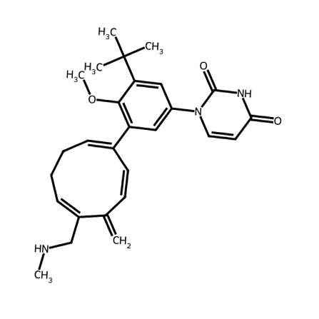 C=C1/C=C\C(c2cc(-n3ccc(=O)[nH]c3=O)cc(C(C)(C)C)c2OC)=C/CC/C=C\1CNC